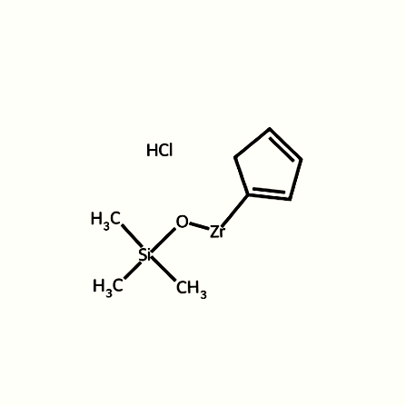 C[Si](C)(C)[O][Zr][C]1=CC=CC1.Cl